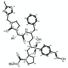 Cc1nc(CN2CCN([C@H](C(=O)N[C@@H](Cc3ccccc3)[C@H](O)CN(CC3CCCN3C(=O)OC(C)(C)C)S(=O)(=O)c3ccc(C=NO)cc3)C(C)C)C2=O)cs1